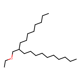 [CH2]COCC(CCCCCCCC)CCCCCCCCCC